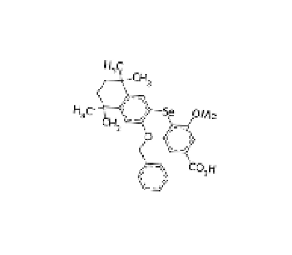 COc1cc(C(=O)O)ccc1[Se]c1cc2c(cc1OCc1ccccc1)C(C)(C)CCC2(C)C